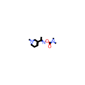 C/C(=N\OC(=O)N(C)C)C1=CCCN(C)C1